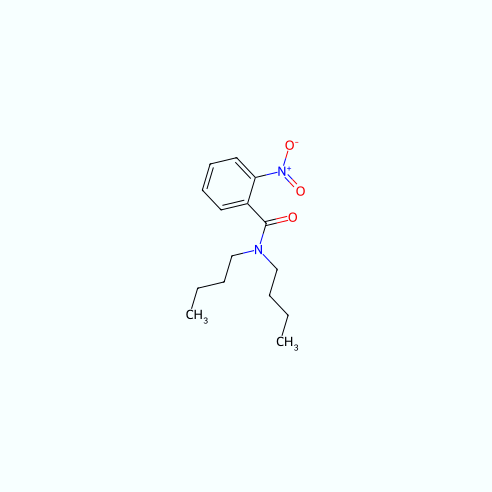 CCCCN(CCCC)C(=O)c1ccccc1[N+](=O)[O-]